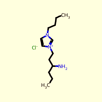 CCCCn1cc[n+](CCC(N)CCC)c1.[Cl-]